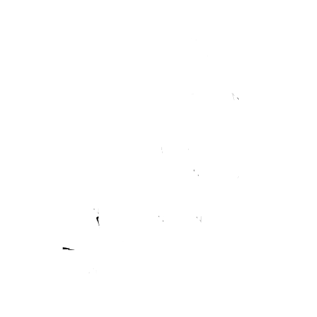 Cc1nc(N2CCC3(CC2)CO[C@@H](I)[C@H]3N)c(CO)nc1Sc1ccnc(OC2COC2)c1Cl